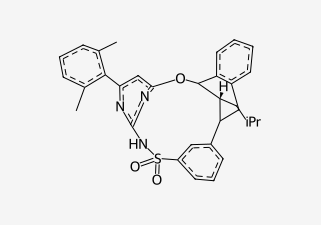 Cc1cccc(C)c1-c1cc2nc(n1)NS(=O)(=O)c1cccc(c1)C1Cc3ccccc3C(O2)[C@@H]1CC(C)C